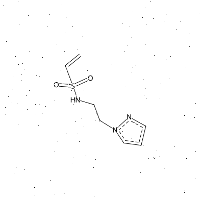 C=CS(=O)(=O)NCCn1c[c]cn1